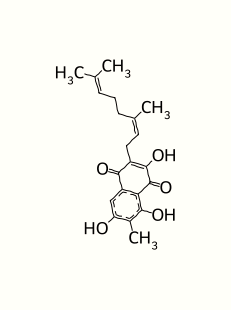 CC(C)=CCCC(C)=CCC1=C(O)C(=O)c2c(cc(O)c(C)c2O)C1=O